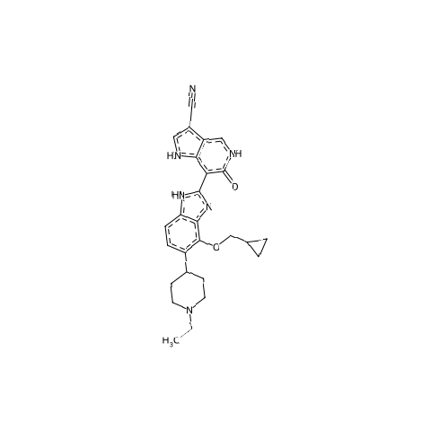 CCN1CCC(c2ccc3[nH]c(-c4c(=O)[nH]cc5c(C#N)c[nH]c45)nc3c2OCC2CC2)CC1